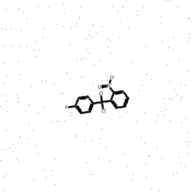 O=[N+]([O-])c1ccccc1C(Cl)(Cl)c1ccc(F)cc1